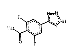 O=C(O)c1c(F)cc(-c2nn[nH]n2)cc1F